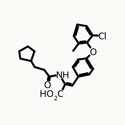 Cc1cccc(Cl)c1Oc1ccc(C=C(NC(=O)CCC2CCCC2)C(=O)O)cc1